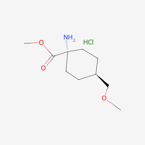 COC[C@H]1CC[C@@](N)(C(=O)OC)CC1.Cl